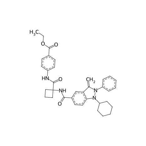 C=C1c2cc(C(=O)NC3(C(=O)Nc4ccc(C(=O)OCC)cc4)CCC3)ccc2N(C2CCCCC2)N1c1ccccc1